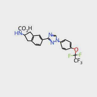 O=C(O)NC1Cc2ccc(-c3ncn(-c4ccc(OC(F)(F)C(F)(F)F)cc4)n3)cc2C1